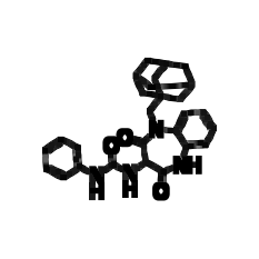 O=C(Nc1ccccc1)NC1C(=O)Nc2ccccc2N(CC23CC4CC(CC(C4)C2)C3)C1=O